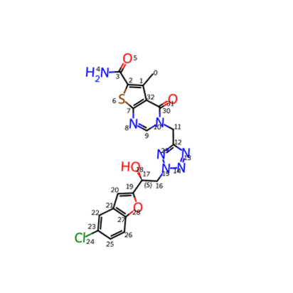 Cc1c(C(N)=O)sc2ncn(Cc3nnn(C[C@H](O)c4cc5cc(Cl)ccc5o4)n3)c(=O)c12